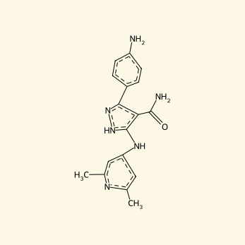 Cc1cc(Nc2[nH]nc(-c3ccc(N)cc3)c2C(N)=O)cc(C)n1